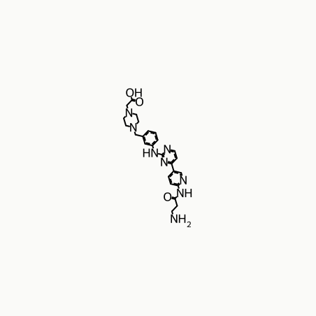 NCCC(=O)Nc1ccc(-c2ccnc(Nc3cccc(CN4CCN(CC(=O)O)CC4)c3)n2)cn1